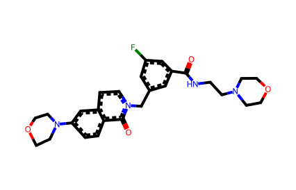 O=C(NCCN1CCOCC1)c1cc(F)cc(Cn2ccc3cc(N4CCOCC4)ccc3c2=O)c1